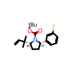 C=CC(C)(C)[C@H]1CC[C@@H](c2cccc(F)c2)N1C(=O)OC(C)(C)C